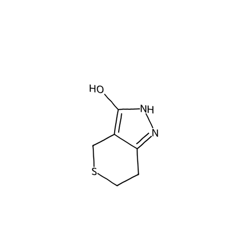 Oc1[nH]nc2c1CSCC2